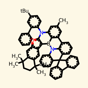 Cc1cc2c3c(c1)N(c1ccc(C(C)(C)C)cc1-c1ccccc1)c1oc4cc5c(cc4c1B3N1c3ccccc3C3(c4ccccc4-c4ccccc43)c3cccc-2c31)C(C)(C)CCC5(C)C